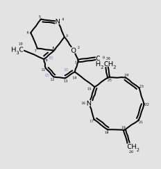 C=C1OC2N=CCC\C2=C(C)/C=C\C=C/1c1nccc(=C)ccccc1=C